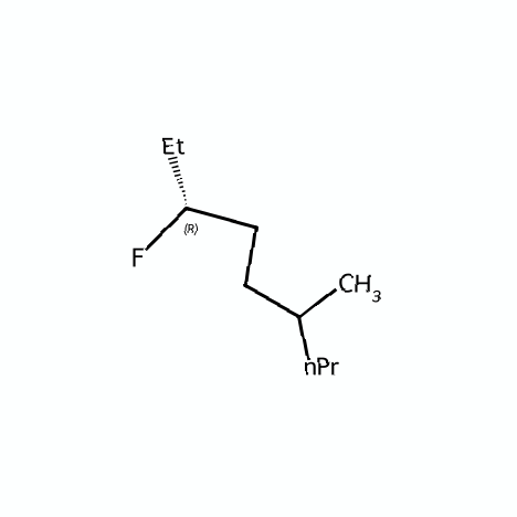 CCCC(C)CC[C@H](F)CC